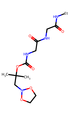 CCNC(=O)CNC(=O)CNC(=O)OC(C)(C)CN1OCCO1